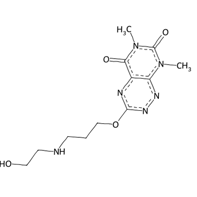 Cn1c(=O)c2nc(OCCCNCCO)nnc2n(C)c1=O